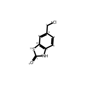 O=c1[nH]c2ccc(CCl)cc2s1